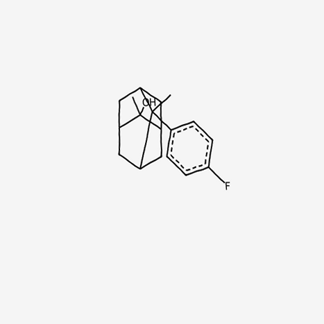 CC1(O)C2CC3CC1CC(C2)C3(C)c1ccc(F)cc1